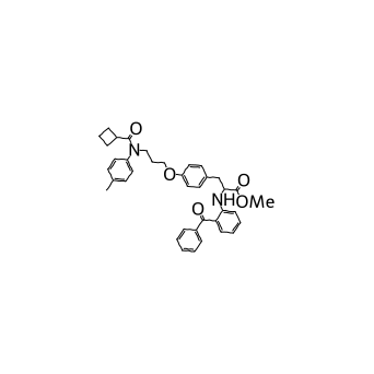 COC(=O)C(Cc1ccc(OCCCN(C(=O)C2CCC2)c2ccc(C)cc2)cc1)Nc1ccccc1C(=O)c1ccccc1